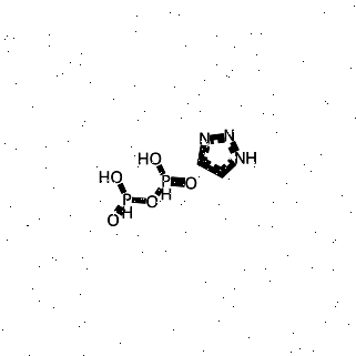 O=[PH](O)O[PH](=O)O.c1c[nH]nn1